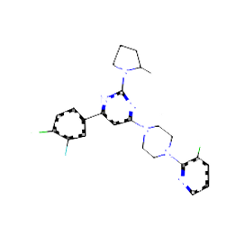 CC1CCCN1c1nc(-c2ccc(Cl)c(F)c2)cc(N2CCN(c3ncccc3Cl)C[C@H]2C)n1